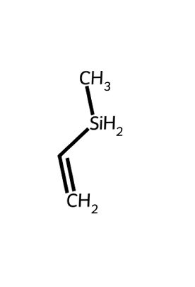 C=C[SiH2]C